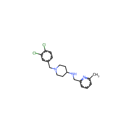 Cc1cccc(CNC2CCN(Cc3ccc(Cl)c(Cl)c3)CC2)n1